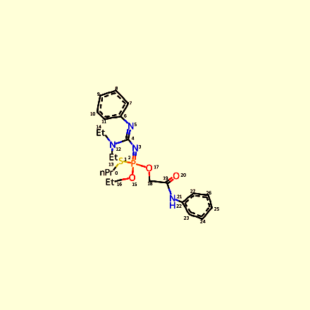 CCCSP(=NC(=Nc1ccccc1)N(CC)CC)(OCC)OCC(=O)Nc1ccccc1